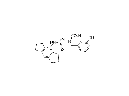 O=C(Nc1c2c(cc3c1CCC3)CCC2)N[C@H](Cc1cccc(O)c1)C(=O)O